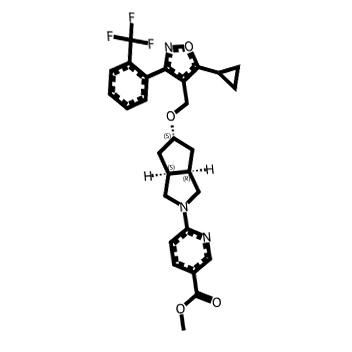 COC(=O)c1ccc(N2C[C@H]3C[C@H](OCc4c(-c5ccccc5C(F)(F)F)noc4C4CC4)C[C@H]3C2)nc1